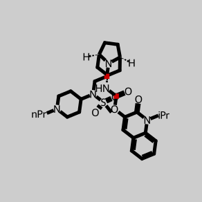 CCCN1CCC(N(CCN2[C@@H]3CC[C@H]2C[C@H](NC(=O)Oc2cc4ccccc4n(C(C)C)c2=O)C3)S(C)(=O)=O)CC1